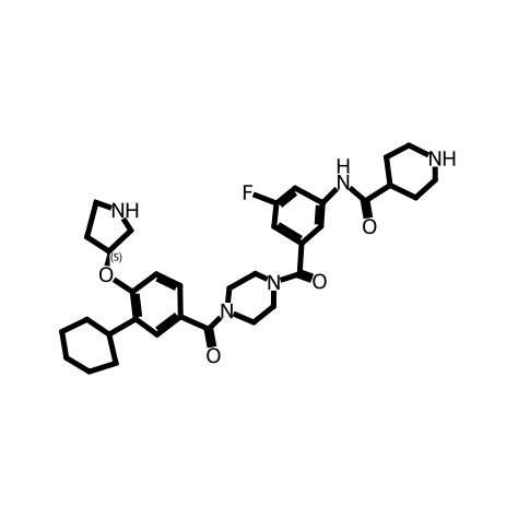 O=C(Nc1cc(F)cc(C(=O)N2CCN(C(=O)c3ccc(O[C@H]4CCNC4)c(C4CCCCC4)c3)CC2)c1)C1CCNCC1